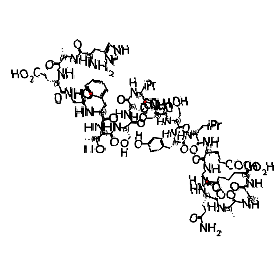 CC(C)C[C@H](NC(=O)[C@H](Cc1ccc(O)cc1)NC(=O)[C@H](CO)NC(=O)[C@H](CO)NC(=O)[C@@H](NC(=O)[C@H](CC(=O)O)NC(=O)[C@H](CO)NC(=O)[C@@H](NC(=O)[C@H](Cc1ccccc1)NC(=O)CNC(=O)[C@H](CCC(=O)O)NC(=O)[C@H](C)NC(=O)[C@@H](N)Cc1c[nH]cn1)[C@@H](C)O)C(C)C)C(=O)N[C@@H](CCC(=O)O)C(=O)NCC(=O)N[C@@H](CCC(N)=O)C(=O)N[C@@H](C)C(=O)N[C@@H](C)C(=O)N[C@@H](CCCCN)C(=O)O